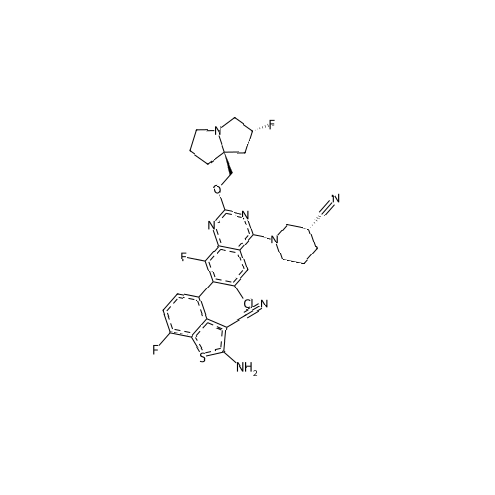 N#Cc1c(N)sc2c(F)ccc(-c3c(Cl)cc4c(N5CCC[C@@H](C#N)C5)nc(OC[C@@]56CCCN5C[C@H](F)C6)nc4c3F)c12